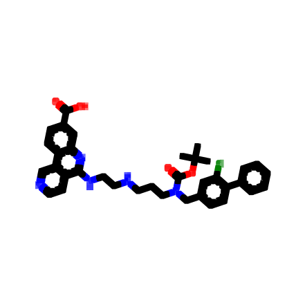 CC(C)(C)OC(=O)N(CCCNCCNc1nc2cc(C(=O)O)ccc2c2cnccc12)Cc1ccc(-c2ccccc2)c(Cl)c1